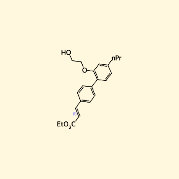 CCCc1ccc(-c2ccc(/C=C/C(=O)OCC)cc2)c(OCCO)c1